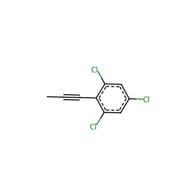 CC#Cc1c(Cl)cc(Cl)cc1Cl